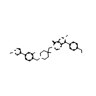 Cn1cc(-c2ccc(CN3CCC(O)(Cn4cnc5c(-c6ccc(CN)cc6)n(C)nc5c4=O)CC3)c(Cl)c2)cn1